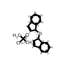 C1=C[CH]([Zr][CH]2C=Cc3ccccc32)c2ccccc21.CC(C)(Cl)Cl